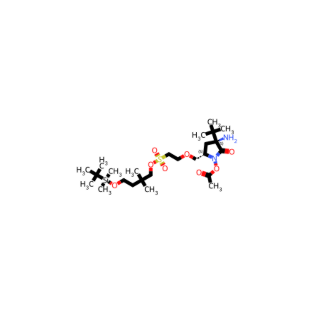 CC(=O)ON1C(=O)[C@@](N)(C(C)(C)C)C[C@H]1COCCS(=O)(=O)OCC(C)(C)CCO[Si](C)(C)C(C)(C)C